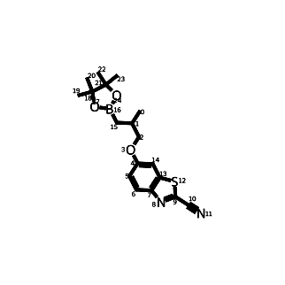 CC(COc1ccc2nc(C#N)sc2c1)CB1OC(C)(C)C(C)(C)O1